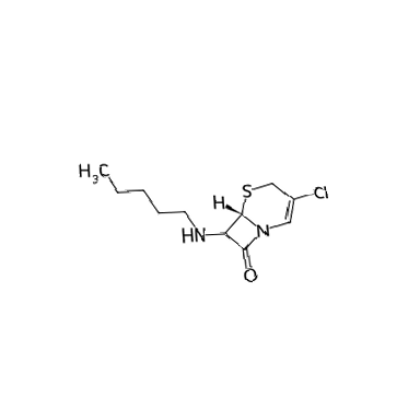 CCCCCNC1C(=O)N2C=C(Cl)CS[C@@H]12